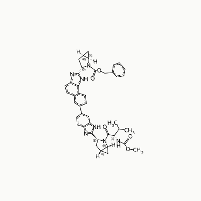 COC(=O)N[C@H](C(=O)N1[C@@H]2C[C@@H]2C[C@H]1c1nc2ccc(-c3ccc4c(ccc5nc([C@@H]6C[C@H]7C[C@H]7N6C(=O)OCc6ccccc6)[nH]c54)c3)cc2[nH]1)C(C)C